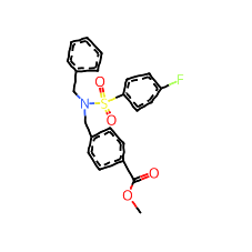 COC(=O)c1ccc(CN(Cc2ccccc2)S(=O)(=O)c2ccc(F)cc2)cc1